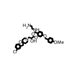 COc1ccc(COc2ccc(C(=O)NCCN)c(OC[C@@H](O)CN3CCC4(CC3)Cc3cc(Cl)ccc3O4)c2)cc1